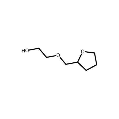 OCCOCC1CCCO1